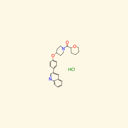 Cl.O=C(C1CCCCO1)N1CCC(Oc2ccc(-c3cnc4ccccc4c3)cc2)CC1